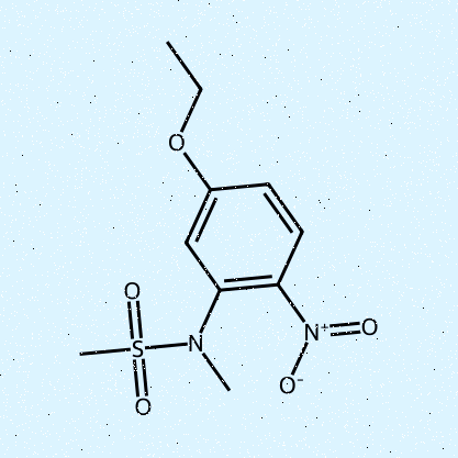 CCOc1ccc([N+](=O)[O-])c(N(C)S(C)(=O)=O)c1